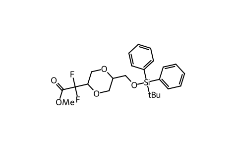 COC(=O)C(F)(F)C1COC(CO[Si](c2ccccc2)(c2ccccc2)C(C)(C)C)CO1